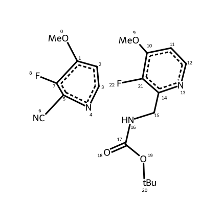 COc1ccnc(C#N)c1F.COc1ccnc(CNC(=O)OC(C)(C)C)c1F